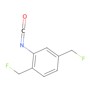 O=C=Nc1cc(CF)ccc1CF